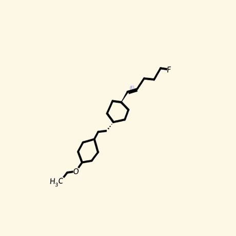 CCOC1CCC(CC[C@H]2CC[C@H](/C=C/CCCF)CC2)CC1